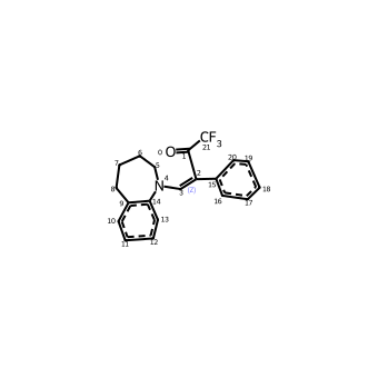 O=C(/C(=C\N1CCCCc2ccccc21)c1ccccc1)C(F)(F)F